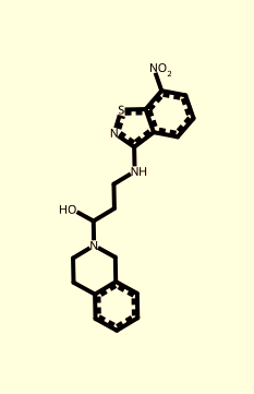 O=[N+]([O-])c1cccc2c(NCCC(O)N3CCc4ccccc4C3)nsc12